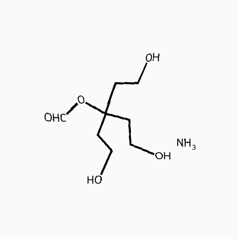 N.O=COC(CCO)(CCO)CCO